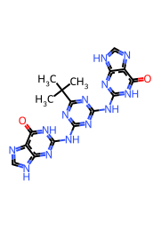 CC(C)(C)c1nc(Nc2nc3[nH]cnc3c(=O)[nH]2)nc(Nc2nc3[nH]cnc3c(=O)[nH]2)n1